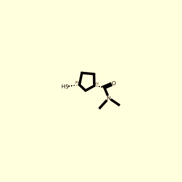 CN(C)C(=O)[C@H]1CC[C@@H](S)C1